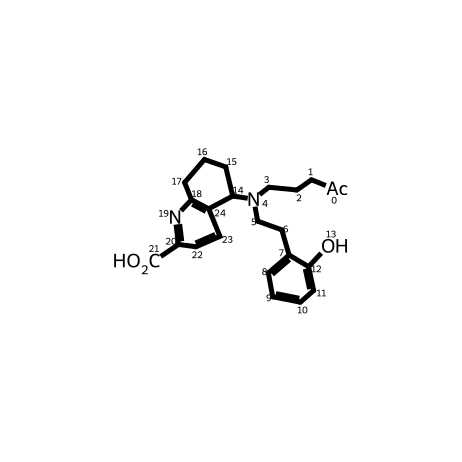 CC(=O)CCCN(CCc1ccccc1O)C1CCCc2nc(C(=O)O)ccc21